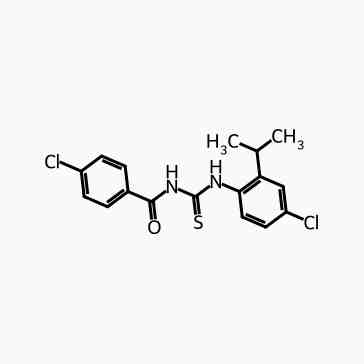 CC(C)c1cc(Cl)ccc1NC(=S)NC(=O)c1ccc(Cl)cc1